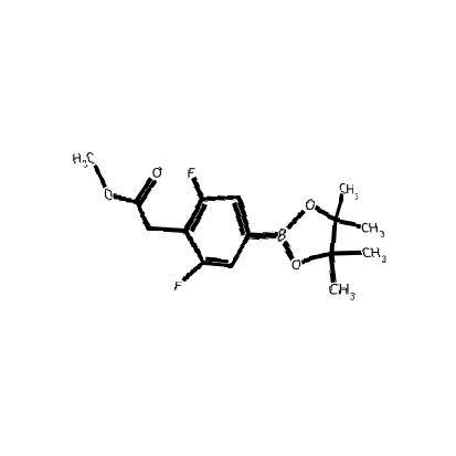 COC(=O)Cc1c(F)cc(B2OC(C)(C)C(C)(C)O2)cc1F